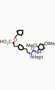 CCCCCCCN(CCc1ccc(C[C@@H](OCc2ccccc2)C(=O)O)cc1)C(=O)Nc1ccc(OC)cc1OC